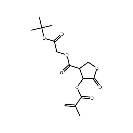 C=C(C)C(=O)OC1C(=O)OCC1C(=O)OCC(=O)OC(C)(C)C